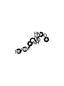 O=C(N[C@@H]1CCc2ccc(CN3CCN(c4ccncc4)CC3)cc2NC1=O)c1cc(Oc2ccccc2)ccn1